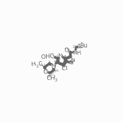 C[C@@H]1CN(c2c(C=O)nc3c(C(=O)NCC(C)(C)C)noc3c2Cl)C[C@H](C)O1